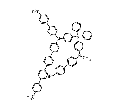 CCCc1ccc(-c2ccc(N(C)c3ccc(S(c4ccccc4)(c4ccccc4)c4ccc(N(c5ccc(-c6ccc(CCC)cc6)cc5)c5ccc(-c6ccc(-c7ccc(-c8ccc(C)cc8)cc7)cc6)cc5)cc4)cc3)cc2)cc1